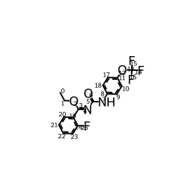 CCOC(=NC(=O)Nc1ccc(OC(F)(F)F)cc1)c1ccccc1F